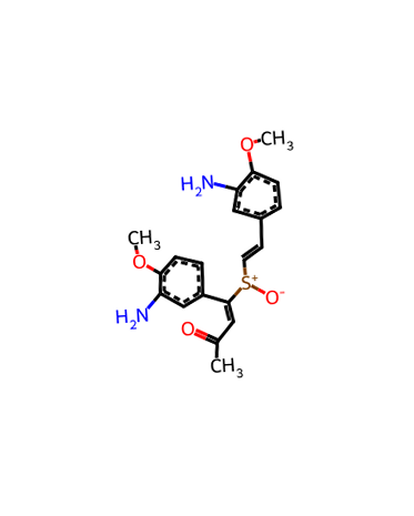 COc1ccc(C=C[S+]([O-])/C(=C/C(C)=O)c2ccc(OC)c(N)c2)cc1N